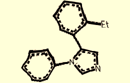 CCc1ccccc1-c1cncn1-c1ccccc1